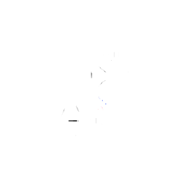 Cc1cc(C2=NOC(c3cccc(C(F)(F)F)c3)(C(F)(F)F)C2)ccc1C(=O)O